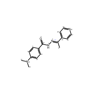 C/C(=N\NC(=O)c1ccc(N(C)C)cc1)c1ccncc1